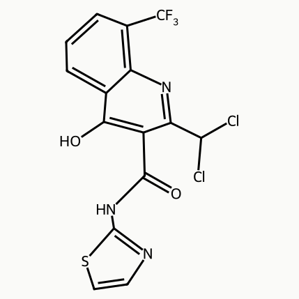 O=C(Nc1nccs1)c1c(C(Cl)Cl)nc2c(C(F)(F)F)cccc2c1O